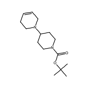 CC(C)(C)OC(=O)N1CCC(N2CC=CCC2)CC1